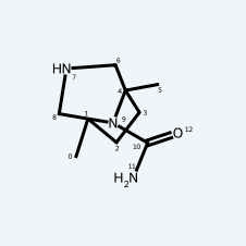 CC12CCC(C)(CNC1)N2C(N)=O